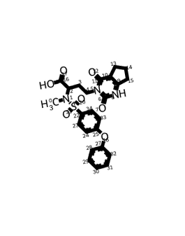 CN(C(CCn1c(=O)[nH]c2c(c1=O)CCC2)C(=O)O)S(=O)(=O)c1ccc(Oc2ccccc2)cc1